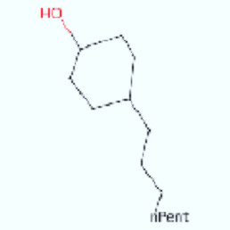 CCCCCCCCC1CCC(O)CC1